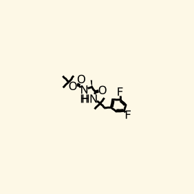 C[C@H](NC(=O)OC(C)(C)C)C(=O)NC(C)(C)Cc1cc(F)cc(F)c1